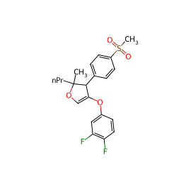 CCCC1(C)OC=C(Oc2ccc(F)c(F)c2)C1c1ccc(S(C)(=O)=O)cc1